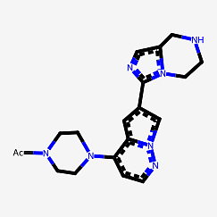 CC(=O)N1CCN(c2ccnn3cc(-c4ncc5n4CCNC5)cc23)CC1